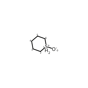 [O-][SH2+]1CCCCC1